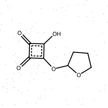 O=c1c(O)c(OC2CCCO2)c1=O